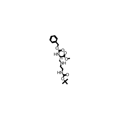 COC(=O)[C@H](CNCCNC(=O)OC(C)(C)C)NC(=O)OCc1ccccc1